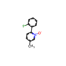 Cc1ccc(-c2ccccc2F)[n+]([O-])c1